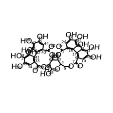 O=C1O[C@H]2C(COC(=O)c3cc(O)c(O)c(O)c3-c3cc(O)c(O)cc31)OC(O)[C@H]1OC(=O)c3cc(O)c(O)c(O)c3-c3c(cc(O)c(O)c3O)C(=O)O[C@@H]12